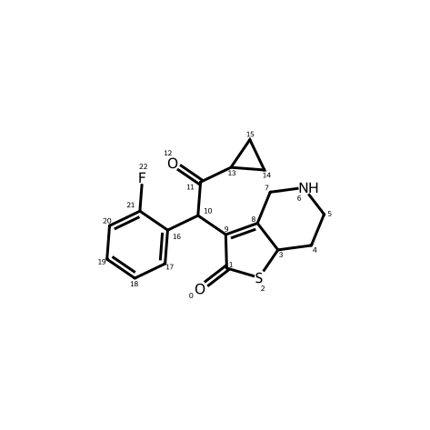 O=C1SC2CCNCC2=C1C(C(=O)C1CC1)c1ccccc1F